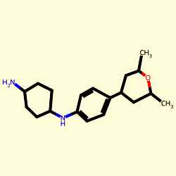 CC1CC(c2ccc(NC3CCC(N)CC3)cc2)CC(C)O1